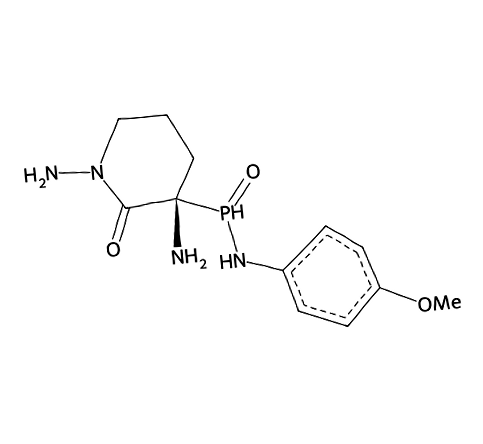 COc1ccc(N[PH](=O)[C@@]2(N)CCCN(N)C2=O)cc1